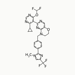 Cn1cc(C(F)(F)F)nc1-c1ccc(CN2CCOc3cnc(-c4c(OC(F)F)ncnc4C4CC4)nc32)cc1